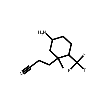 CC1(CCC#N)CC(N)CCC1C(F)(F)F